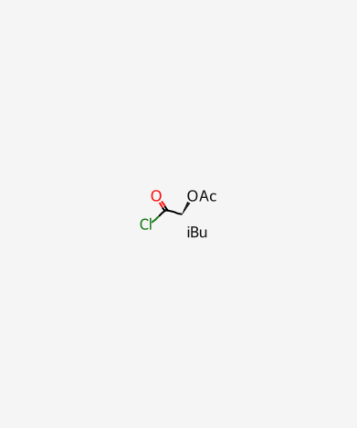 CC[C@H](C)[C@H](OC(C)=O)C(=O)Cl